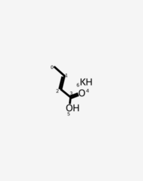 CC=CC(=O)O.[KH]